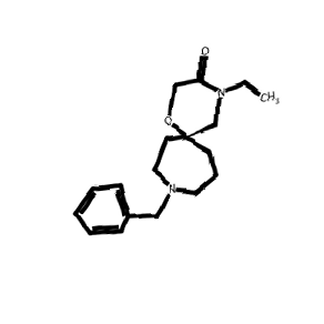 CCN1C[C@]2(CCCN(Cc3ccccc3)CC2)OCC1=O